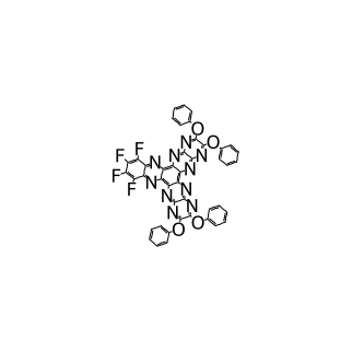 Fc1c(F)c(F)c2nc3c4nc5nc(Oc6ccccc6)c(Oc6ccccc6)nc5nc4c4nc5nc(Oc6ccccc6)c(Oc6ccccc6)nc5nc4c3nc2c1F